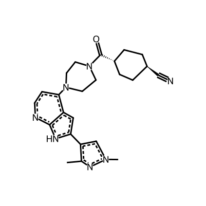 Cc1nn(C)cc1-c1cc2c(N3CCN(C(=O)[C@H]4CC[C@H](C#N)CC4)CC3)ccnc2[nH]1